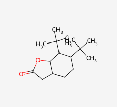 CC(C)(C)C1CCC2CC(=O)OC2C1C(C)(C)C